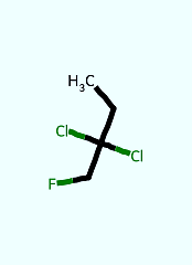 CCC(Cl)(Cl)CF